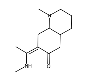 CNC(C)=C1CC2C(CCCN2C)CC1=O